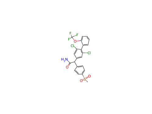 CS(=O)(=O)c1ccc(C(C(N)=O)c2cc(Cl)c(-c3ccccc3OC(F)(F)F)c(Cl)c2)cc1